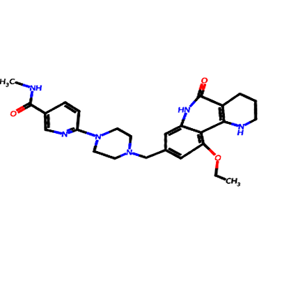 CCOc1cc(CN2CCN(c3ccc(C(=O)NC)cn3)CC2)cc2[nH]c(=O)c3c(c12)NCCC3